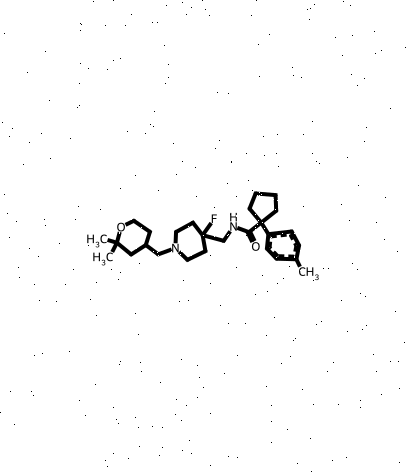 Cc1ccc(C2(C(=O)NCC3(F)CCN(CC4CCOC(C)(C)C4)CC3)CCCC2)cc1